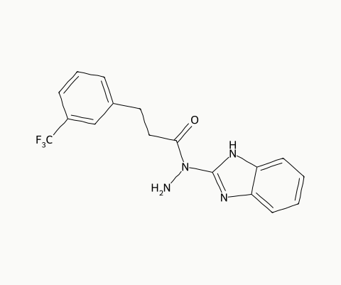 NN(C(=O)CCc1cccc(C(F)(F)F)c1)c1nc2ccccc2[nH]1